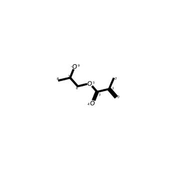 C=C(C)C(=O)OCC(C)[O]